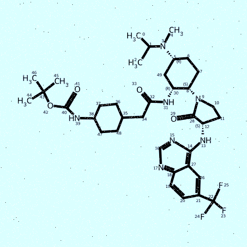 CC(C)N(C)[C@@H]1CC[C@H](N2CC[C@H](Nc3ncnc4ccc(C(F)(F)F)cc34)C2=O)[C@H](NC(=O)CC2CCC(NC(=O)OC(C)(C)C)CC2)C1